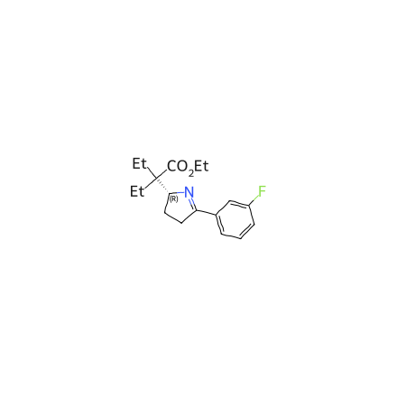 CCOC(=O)C(CC)(CC)[C@H]1CCC(c2cccc(F)c2)=N1